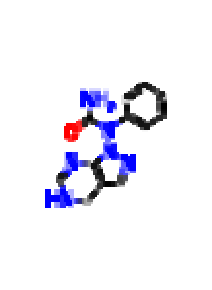 NC(=O)N(c1ccccc1)n1ncc2c1N=CNC2